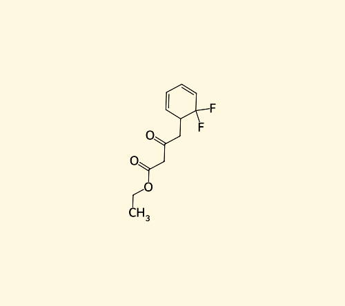 CCOC(=O)CC(=O)CC1C=CC=CC1(F)F